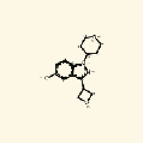 Cc1ccc2c(c1)c(C1COC1)nn2C1CCNCC1